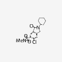 CNS(=O)(=O)c1cc2c(cc1Cl)CN(C1CCCCC1)C2=O